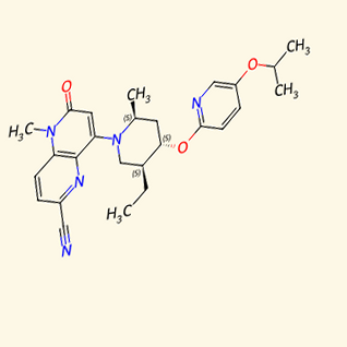 CC[C@H]1CN(c2cc(=O)n(C)c3ccc(C#N)nc23)[C@@H](C)C[C@@H]1Oc1ccc(OC(C)C)cn1